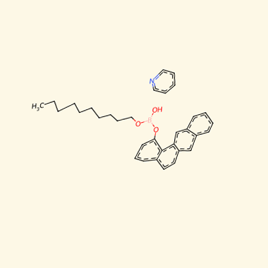 CCCCCCCCCCOB(O)Oc1cccc2ccc3cc4ccccc4cc3c12.c1ccncc1